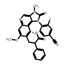 COc1cc2ncc3c(c2cc1CC(C(N)=O)c1ccccc1)n(-c1ccc(C#N)cc1F)c(=O)n3C